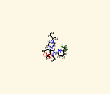 CCC(=O)N(CC1(N2CCN(C(C)CC)CC2)CCOC(C)(C)C1)c1cccc(C(F)(F)F)n1